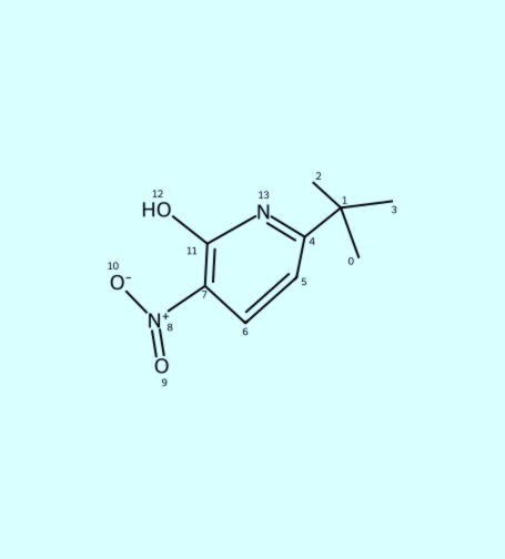 CC(C)(C)c1ccc([N+](=O)[O-])c(O)n1